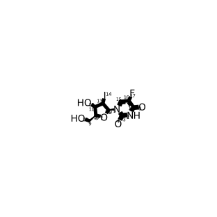 O=c1[nH]c(=O)n([C@H]2O[C@@H](CO)C(O)C2I)cc1F